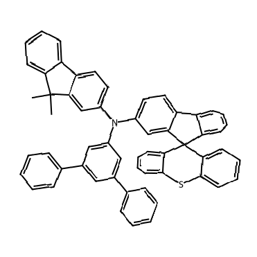 CC1(C)c2ccccc2-c2ccc(N(c3cc(-c4ccccc4)cc(-c4ccccc4)c3)c3ccc4c(c3)C3(c5ccccc5Sc5ccccc53)c3ccccc3-4)cc21